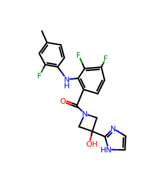 Cc1ccc(Nc2c(C(=O)N3CC(O)(c4ncc[nH]4)C3)ccc(F)c2F)c(F)c1